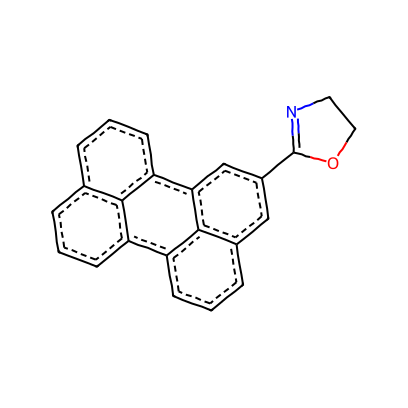 c1cc2cccc3c4cc(C5=NCCO5)cc5cccc(c(c1)c23)c54